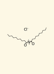 CCCCCCCCCC(=O)[N+](C)(C)C(=O)CCCCCCCCC.[Cl-]